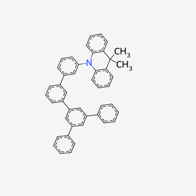 CC1(C)c2ccccc2N(c2cccc(-c3cccc(-c4cc(-c5ccccc5)cc(-c5ccccc5)c4)c3)c2)c2ccccc21